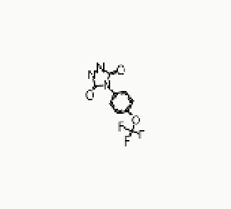 O=C1N=NC(=O)N1c1ccc(OC(F)(F)F)cc1